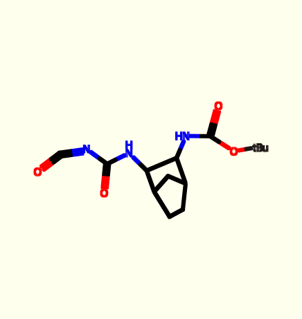 CC(C)(C)OC(=O)NC1C2CCC(C2)C1NC(=O)N=C=O